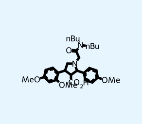 CCCCN(CCCC)C(=O)CN1CC(c2ccc(OC)cc2OC)C(C(=O)O)C1c1ccc(OC)cc1